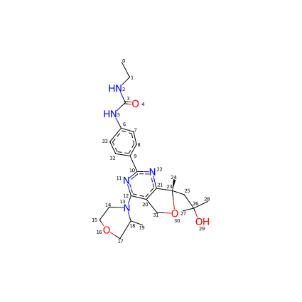 CCNC(=O)Nc1ccc(-c2nc(N3CCOCC3C)c3c(n2)[C@](C)(CC(C)(C)O)OC3)cc1